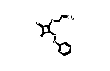 C=CCOc1c(OOc2ccccc2)c(=O)c1=O